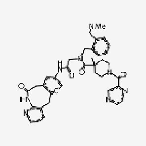 CNCc1ccccc1CN(CC(=O)Nc1ccc2c(c1)CC(=O)Nc1ncccc1C2)C(=O)C1(C)CCN(C(=O)c2cnccn2)CC1